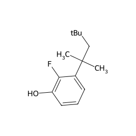 CC(C)(C)CC(C)(C)c1cccc(O)c1F